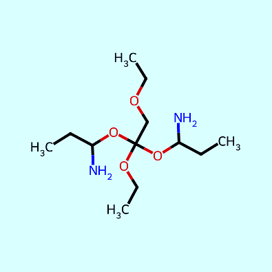 CCOCC(OCC)(OC(N)CC)OC(N)CC